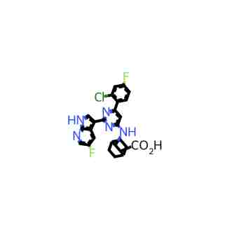 O=C(O)C1C2CCC(CC2)C1Nc1cc(-c2ccc(F)cc2Cl)nc(-c2c[nH]c3ncc(F)cc23)n1